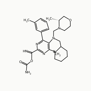 C=Nc1nc(C(=N)OC(N)=O)nc(-c2cccc(C)c2)c1N(CC1CCCCC1)CN1CCOC[C@H]1C